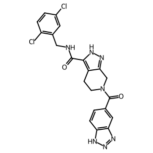 O=C(NCc1cc(Cl)ccc1Cl)c1[nH]nc2c1CCN(C(=O)c1ccc3[nH]nnc3c1)C2